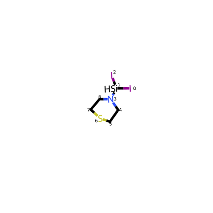 I[SiH](I)N1CCSCC1